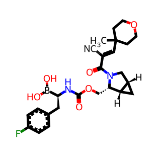 CC1(C=C(C#N)C(=O)N2C[C@@H]3C[C@@H]3[C@@H]2COC(=O)N[C@@H](Cc2ccc(F)cc2)B(O)O)CCOCC1